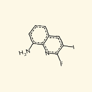 Nc1cccc2cc(I)c(F)nc12